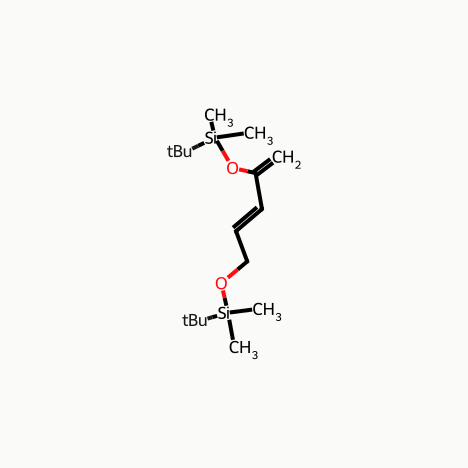 C=C(C=CCO[Si](C)(C)C(C)(C)C)O[Si](C)(C)C(C)(C)C